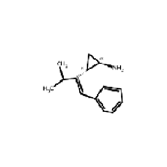 CC(C)C(=Cc1ccccc1)[C@@H]1C[C@H]1N